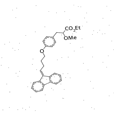 CCOC(=O)C(Cc1ccc(OCCCC=C2c3ccccc3-c3ccccc32)cc1)OC